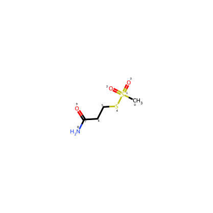 CS(=O)(=O)SCCC(N)=O